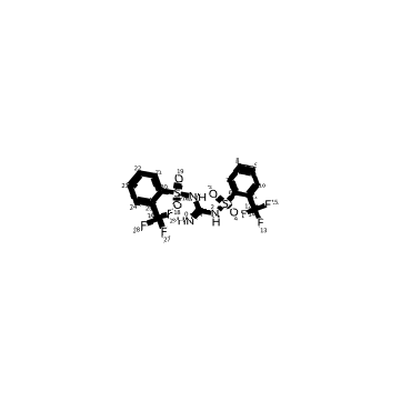 N=C(NS(=O)(=O)c1ccccc1C(F)(F)F)NS(=O)(=O)c1ccccc1C(F)(F)F